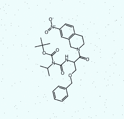 CC(C)N(C(=O)NC(COCc1ccccc1)C(=O)N1CCc2ccc([N+](=O)[O-])cc2C1)C(=O)OC(C)(C)C